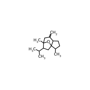 C=C1CC2(C)OC3(CC2C(C)C)C(C)CCC13